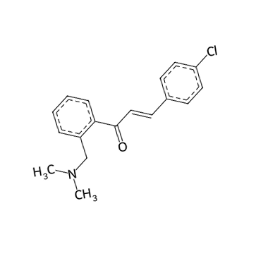 CN(C)Cc1ccccc1C(=O)C=Cc1ccc(Cl)cc1